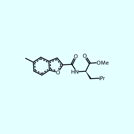 COC(=O)[C@@H](CC(C)C)NC(=O)c1cc2cc(C)ccc2o1